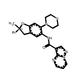 CC(C)[C@]1(C)Cc2cc(NC(=O)c3cnn4cccnc34)c(N3CCOCC3)cc2O1